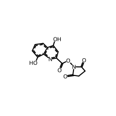 O=C(ON1C(=O)CCC1=O)c1cc(O)c2cccc(O)c2n1